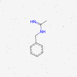 CC(=N)NCc1ccccc1